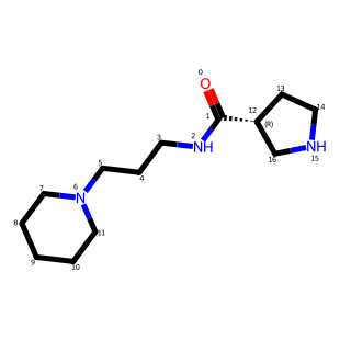 O=C(NCCCN1CCCCC1)[C@@H]1CCNC1